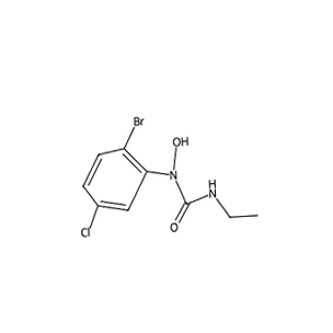 CCNC(=O)N(O)c1cc(Cl)ccc1Br